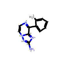 Cc1ccccc1-c1nccn2nc(N)nc12